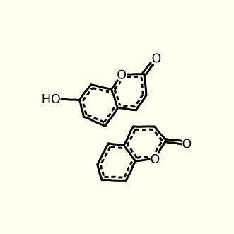 O=c1ccc2ccc(O)cc2o1.O=c1ccc2ccccc2o1